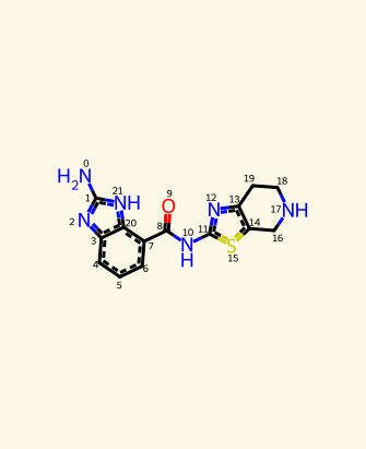 Nc1nc2cccc(C(=O)Nc3nc4c(s3)CNCC4)c2[nH]1